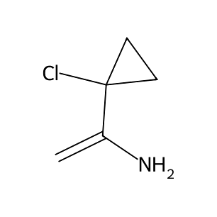 C=C(N)C1(Cl)CC1